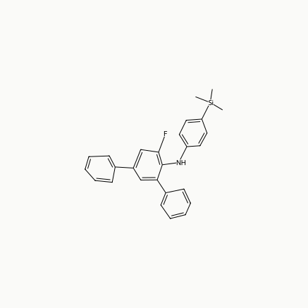 C[Si](C)(C)c1ccc(Nc2c(F)cc(-c3ccccc3)cc2-c2ccccc2)cc1